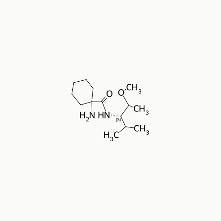 COC(C)[C@@H](NC(=O)C1(N)CCCCC1)C(C)C